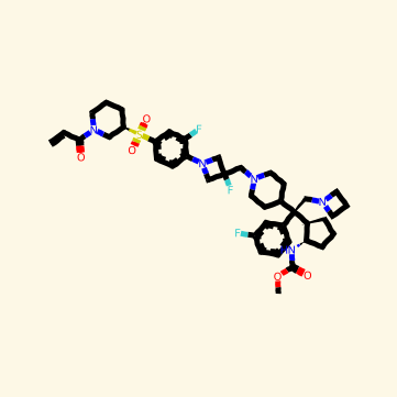 C=CC(=O)N1CCC[C@@H](S(=O)(=O)c2ccc(N3CC(F)(CN4CCC([C@@](CN5CCC5)(c5cccc(F)c5)[C@H]5CCC[C@@H]5NC(=O)OC)CC4)C3)c(F)c2)C1